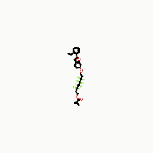 C=C(C)C(=O)OCCC(F)(F)C(F)(F)C(F)(F)C(F)(F)CCOc1ccc2cc(-c3ccccc3CC)oc2c1